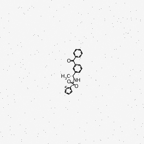 C[C@@H](NS(=O)(=O)c1cccs1)c1cccc(C(=O)c2ccccc2)c1